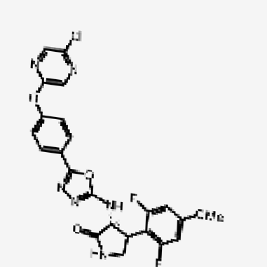 COc1cc(F)c(C2CNC(=O)[C@@H]2Nc2nnc(-c3ccc(Oc4cnc(Cl)cn4)cc3)o2)c(F)c1